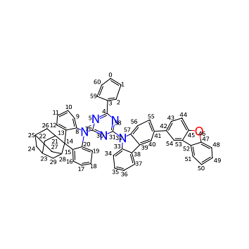 c1ccc(-c2nc(N3c4ccccc4C4(c5ccccc53)C3CC5CC(C3)CC4C5)nc(-n3c4ccccc4c4cc(-c5ccc6oc7ccccc7c6c5)ccc43)n2)cc1